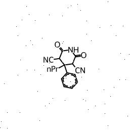 CCCC1(c2ccccc2)C(C#N)C(=O)NC(=O)C1C#N